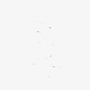 CCCCO[C@@H](Cc1cnc([C@@H](O)[C@H](O)[C@H](O)CO)cn1)[C@@H](O)CO